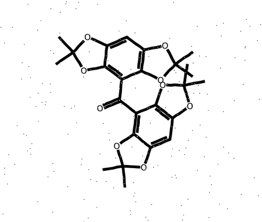 CC1(C)Oc2cc3c(c(C(=O)c4c5c(cc6c4OC(C)(C)O6)OC(C)(C)O5)c2O1)OC(C)(C)O3